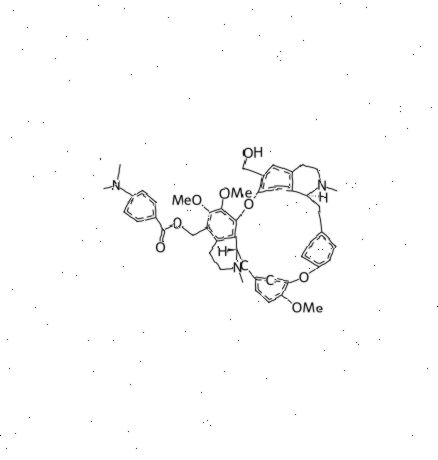 COc1ccc2cc1Oc1ccc(cc1)C[C@H]1c3cc(c(CO)cc3CCN1C)Oc1c(OC)c(OC)c(COC(=O)c3ccc(N(C)C)cc3)c3c1[C@H](C2)N(C)CC3